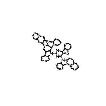 c1ccc2cc3c(cc2c1)c1cc2c4ccccc4n(-c4nc(-n5c6ccccc6c6c7ccccc7ccc65)c5sc6ccccc6c5n4)c2c2c4ccccc4n3c12